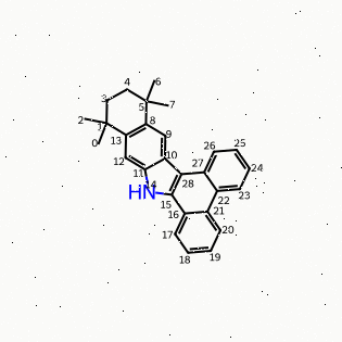 CC1(C)CCC(C)(C)c2cc3c(cc21)[nH]c1c2ccccc2c2ccccc2c31